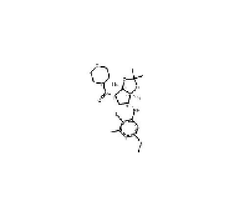 CSc1nc(C)c(I)c(N[C@@H]2C[C@H](C(=O)N3CCOCC3)[C@H]3OC(C)(C)O[C@H]32)n1